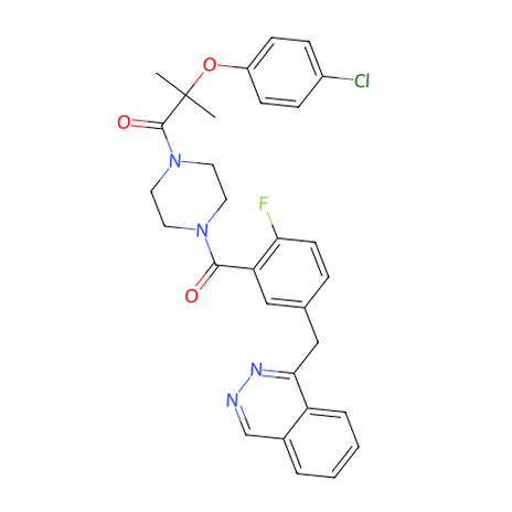 CC(C)(Oc1ccc(Cl)cc1)C(=O)N1CCN(C(=O)c2cc(Cc3nncc4ccccc34)ccc2F)CC1